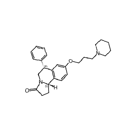 O=C1CC[C@H]2c3ccc(OCCCN4CCCCC4)cc3[C@@H](c3ccccc3)CN12